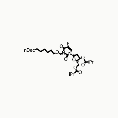 CCCCCCCCCCCCCCCCOCn1c(=O)c(F)cn([C@H]2C[C@H](OC(=O)C(C)C)[C@@H](COC(=O)C(C)C)O2)c1=O